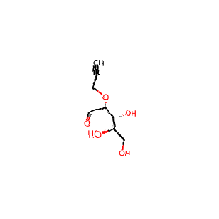 C#CCO[C@@H](C=O)[C@H](O)[C@H](O)CO